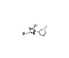 Fc1cccc(-n2nc(Br)nc2Br)c1